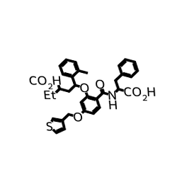 CCC(CC(Oc1cc(OCc2ccsc2)ccc1C(=O)NC(Cc1ccccc1)C(=O)O)c1ccccc1C)C(=O)O